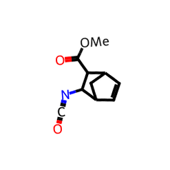 COC(=O)C1C2C=CC(C2)C1N=C=O